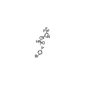 O=C(C[C@@H]1C[C@@H]1c1ccc(Br)cc1)N[C@@H]1CCN(c2cncc(C(F)(F)F)c2)C1